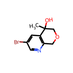 CC1(O)COCc2ncc(Br)cc21